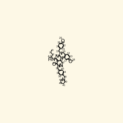 CCCC(C)Nc1nc(N(Cc2ccc(OC)cc2)Cc2ccc(OC)cc2)nc2cnn(Cc3ccc(CN4CCCC4)cc3)c(=O)c12